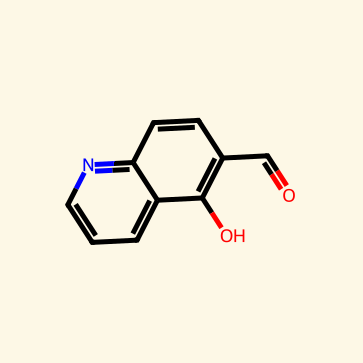 O=Cc1ccc2ncccc2c1O